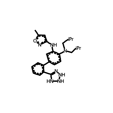 Cc1cc(Nc2cc(-c3ccccc3C3=NNNN3)ccc2N(CC(C)C)CC(C)C)no1